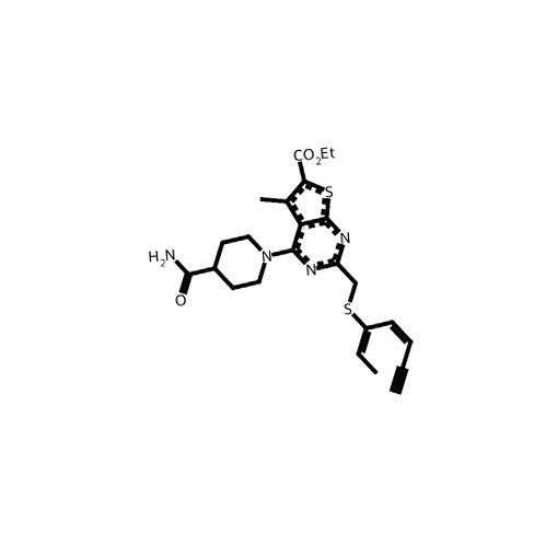 C#C/C=C\C(=C/C)SCc1nc(N2CCC(C(N)=O)CC2)c2c(C)c(C(=O)OCC)sc2n1